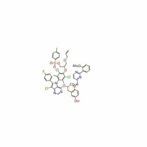 C=CCOCC(COS(=O)(=O)c1ccc(C)cc1)Oc1c(Cl)c(C)c(-n2c(-c3ccc(F)cc3)c(Cl)c3ncnc(OC(Cc4cc(O)ccc4OCc4ccnc(-c5ccccc5OC)n4)C(=O)O)c32)c(C)c1Cl